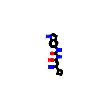 N=C(/C=C(\O)NC(=O)Nc1ccc2[nH]ccc2c1)C1CCC1